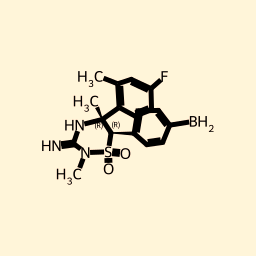 Bc1ccc([C@@H]2[C@@](C)(c3ccc(F)cc3C)NC(=N)N(C)S2(=O)=O)cc1